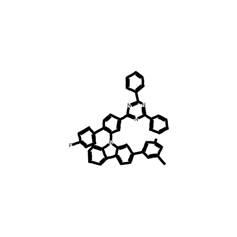 Cc1cc(C)cc(-c2ccc3c4ccccc4n(-c4cc(-c5nc(-c6ccccc6)nc(-c6ccccc6)n5)ccc4-c4ccc(F)cc4)c3c2)c1